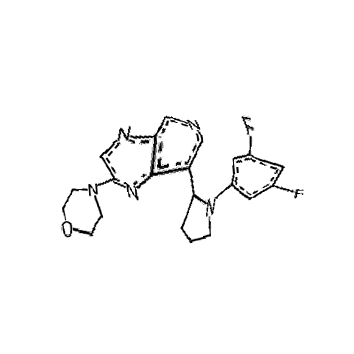 Fc1cc(F)cc(N2CCCC2c2cncc3ncc(N4CCOCC4)nc23)c1